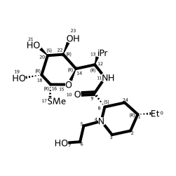 CC[C@@H]1CCN(CCO)[C@H](C(=O)N[C@H](C(C)C)[C@H]2O[C@H](SC)[C@H](O)[C@@H](O)[C@H]2O)C1